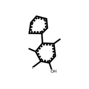 Cc1cc(O)c(I)c(C)c1-c1ccccc1